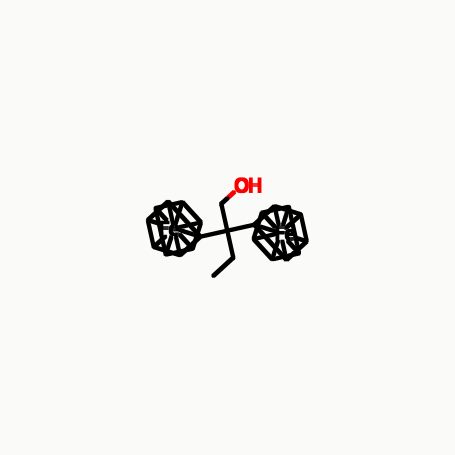 CCC(CO)([C]12[CH]3[CH]4[CH]5[CH]1[Fe]45321678[CH]2[CH]1[CH]6[CH]7[CH]28)[C]12[CH]3[CH]4[CH]5[CH]1[Fe]45321678[CH]2[CH]1[CH]6[CH]7[CH]28